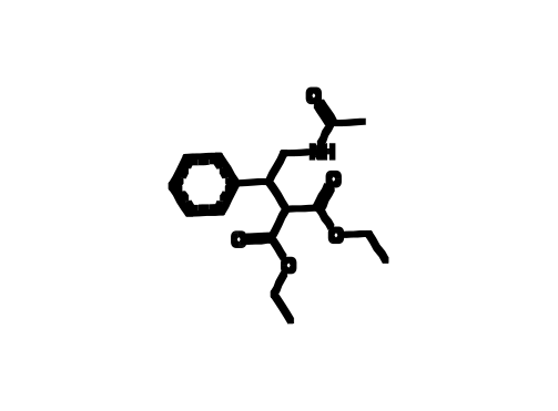 CCOC(=O)C(C(=O)OCC)C(CNC(C)=O)c1ccccc1